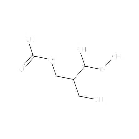 CCC(COC(C)=O)C(C)OC